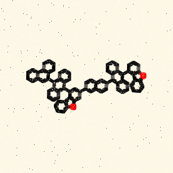 c1ccc2c(c1)cc(-c1c3ccccc3c(-c3cc(-c4ccc5cc(-c6c7ccccc7c(-c7cccc8oc9ccccc9c78)c7ccccc67)ccc5c4)cc4oc5ccccc5c34)c3ccccc13)c1ccccc12